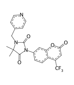 CC1(C)C(=O)N(c2ccc3c(C(F)(F)F)cc(=O)oc3c2)C(=O)N1Cc1ccncc1